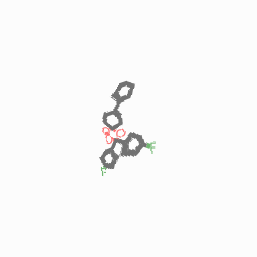 Fc1ccc(C2(c3ccc(F)cc3)OOC3(CCC(c4ccccc4)CC3)O2)cc1